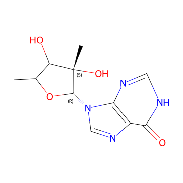 CC1O[C@@H](n2cnc3c(=O)[nH]cnc32)[C@@](C)(O)C1O